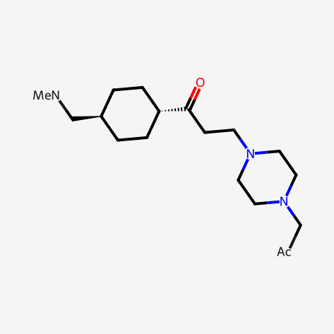 CNC[C@H]1CC[C@H](C(=O)CCN2CCN(CC(C)=O)CC2)CC1